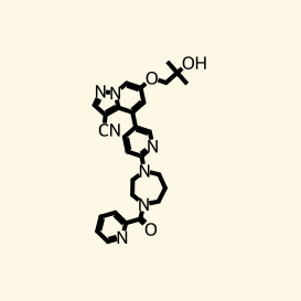 CC(C)(O)COc1cc(-c2ccc(N3CCCN(C(=O)c4ccccn4)CC3)nc2)c2c(C#N)cnn2c1